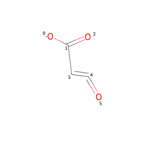 [O]C(=O)C=C=O